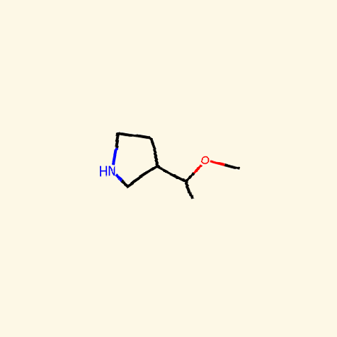 COC(C)C1CCNC1